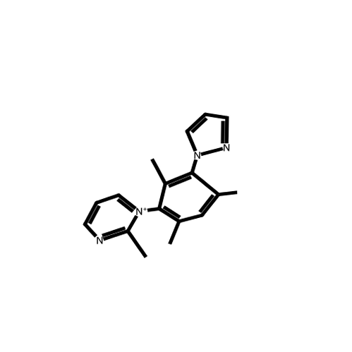 Cc1cc(C)c(-[n+]2cccnc2C)c(C)c1-n1cccn1